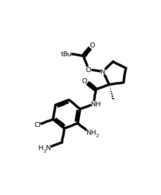 CC(C)(C)C(=O)ON1CCC[C@@]1(C)C(=O)Nc1ccc(Cl)c(CN)c1N